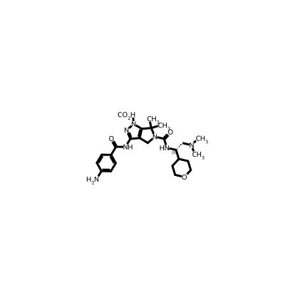 CN(C)C[C@@H](NC(=O)N1Cc2c(NC(=O)c3ccc(N)cc3)nn(C(=O)O)c2C1(C)C)C1CCOCC1